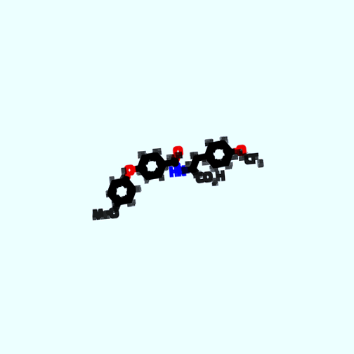 COc1ccc(Oc2ccc(C(=O)NC(Cc3ccc(OC(F)(F)F)cc3)C(=O)O)cc2)cc1